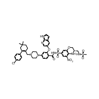 CC1(C)CCC(CN2CCN(c3ccc(C(=O)NS(=O)(=O)c4cc5c(c([N+](=O)[O-])c4)N[C@H](CNS(C)(=O)=O)CO5)c(Oc4cnc5[nH]ccc5c4)c3)CC2)=C(c2ccc(Cl)cc2)C1